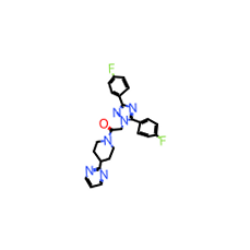 O=C(Cn1nc(-c2ccc(F)cc2)nc1-c1ccc(F)cc1)N1CCC(c2ncccn2)CC1